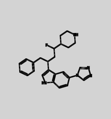 FC(CC(Cc1ccccc1)c1c[nH]c2ccc(-n3cnnc3)cc12)C1CCNCC1